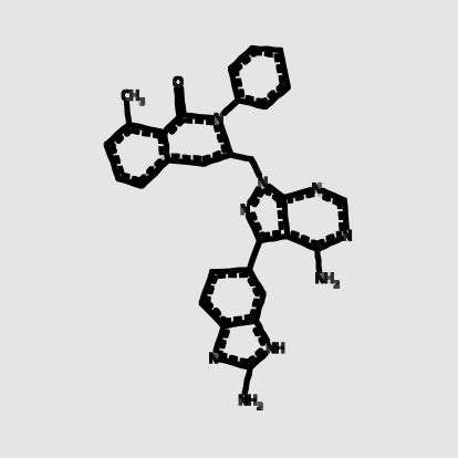 Cc1cccc2cc(Cn3nc(-c4ccc5nc(N)[nH]c5c4)c4c(N)ncnc43)n(-c3ccccc3)c(=O)c12